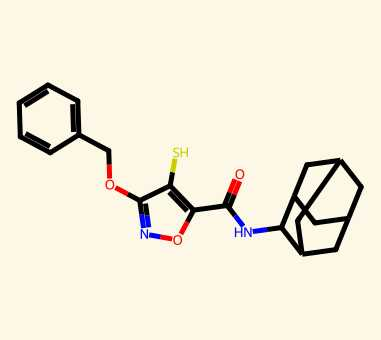 O=C(NC1C2CC3CC(C2)CC1C3)c1onc(OCc2ccccc2)c1S